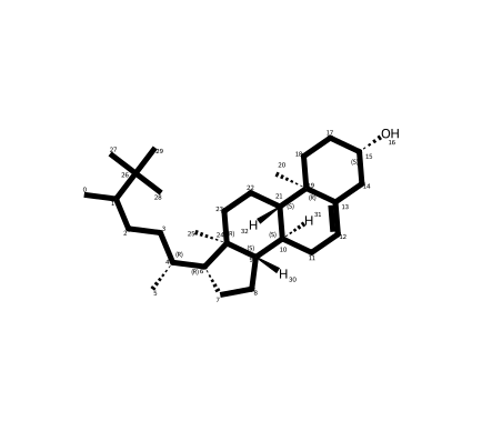 CC(CC[C@@H](C)[C@H]1CC[C@H]2[C@@H]3CC=C4C[C@@H](O)CC[C@]4(C)[C@H]3CC[C@]12C)C(C)(C)C